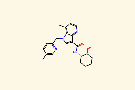 Cc1ccc(Cn2cc(C(=O)N[C@H]3CCCC[C@@H]3O)c3nccc(C)c32)nc1